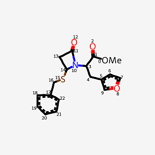 COC(=O)C(Cc1ccoc1)N1C(=O)CC1SCc1ccccc1